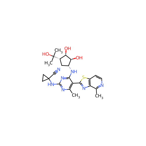 Cc1nc(NC2(C#N)CC2)nc(N[C@@H]2C[C@H](C(C)(C)O)[C@@H](O)[C@H]2O)c1-c1nc2c(C)nccc2s1